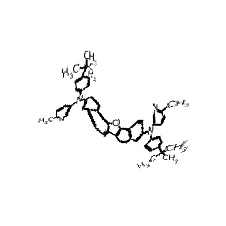 Cc1ccc(N(c2ccc(C(C)(C)C)cc2)c2ccc3c(ccc4c5ccc6cc(N(c7ccc(C(C)(C)C)cc7)c7ccc(C)nc7)ccc6c5oc34)c2)cn1